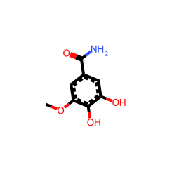 COc1cc(C(N)=O)cc(O)c1O